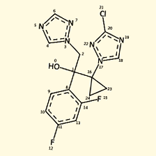 OC(Cn1cncn1)(c1ccc(F)cc1F)C1(n2cnc(Cl)n2)CC1